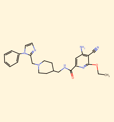 CCOc1nc(C(=O)NCC2CCN(Cc3nccn3-c3ccccc3)CC2)cc(N)c1C#N